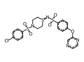 O=S(=O)(N=S1CCN(S(=O)(=O)c2ccc(Cl)cc2)CC1)c1ccc(Oc2cnccn2)cc1